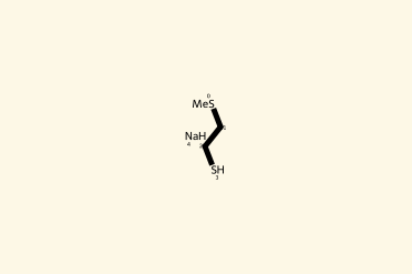 CSCCS.[NaH]